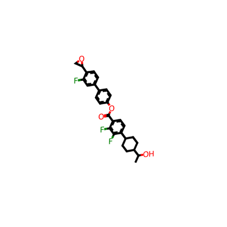 CC(O)C1CCC(c2ccc(C(=O)Oc3ccc(-c4ccc(C5CO5)c(F)c4)cc3)c(F)c2F)CC1